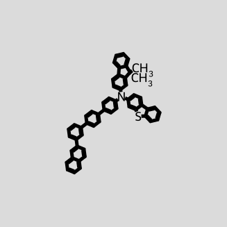 CC1(C)c2ccccc2-c2ccc(N(c3ccc(-c4ccc(-c5cccc(-c6ccc7ccccc7c6)c5)cc4)cc3)c3ccc4c(c3)sc3ccccc34)cc21